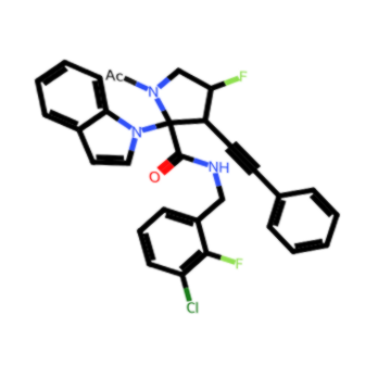 CC(=O)N1CC(F)C(C#Cc2ccccc2)C1(C(=O)NCc1cccc(Cl)c1F)n1ccc2ccccc21